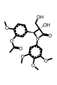 COc1ccc([C@@H]2N(c3cc(OC)c(OC)c(OC)c3)C(=O)[C@]2(O)CO)cc1OC(C)=O